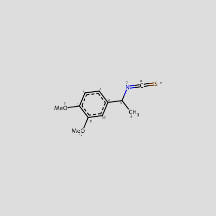 COc1ccc(C(C)N=C=S)cc1OC